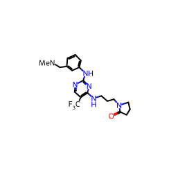 CNCc1cccc(Nc2ncc(C(F)(F)F)c(NCCCN3CCCC3=O)n2)c1